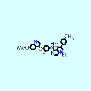 CCn1cc(-c2ccc(C)cc2)c(=O)c2c(Nc3ccc(Oc4ccnc5cc(OC)ccc45)c(F)c3)nccc21